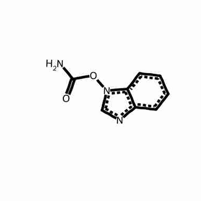 NC(=O)On1cnc2ccccc21